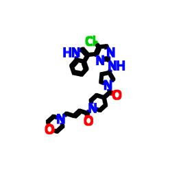 O=C(C=CCN1CCOCC1)N1CCC(C(=O)N2CCC(Nc3ncc(Cl)c(-c4c[nH]c5ccccc45)n3)C2)CC1